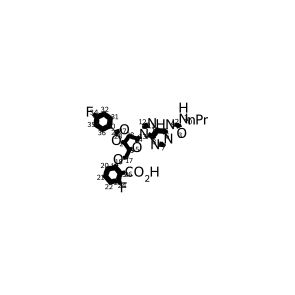 CCCNC(=O)Nc1ncnc2c1ncn2C1OC(COc2cccc(F)c2C(=O)O)C2O[C@H](c3ccc(F)cc3)OC21